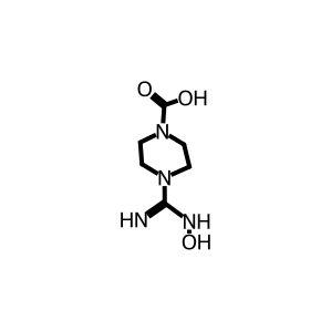 N=C(NO)N1CCN(C(=O)O)CC1